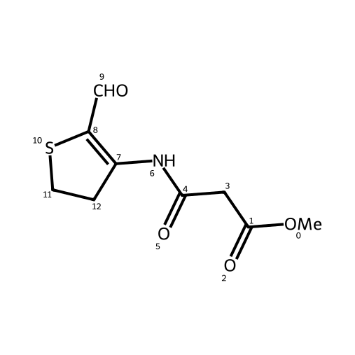 COC(=O)CC(=O)NC1=C(C=O)SCC1